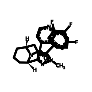 Cn1nc2c(c1-c1cc(F)c(F)c(F)c1)C[C@@H]1CCC[C@H]2N1C(=O)c1ccnc2ccccc12